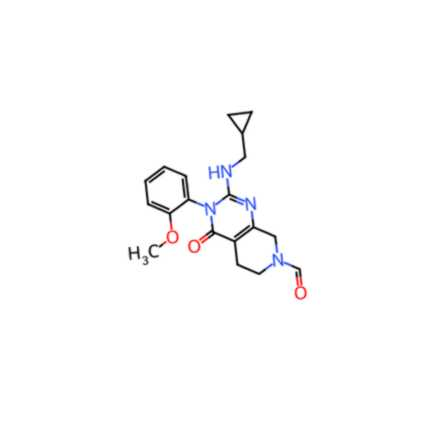 COc1ccccc1-n1c(NCC2CC2)nc2c(c1=O)CCN(C=O)C2